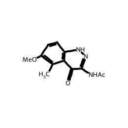 COc1ccc2[nH]nc(NC(C)=O)c(=O)c2c1C